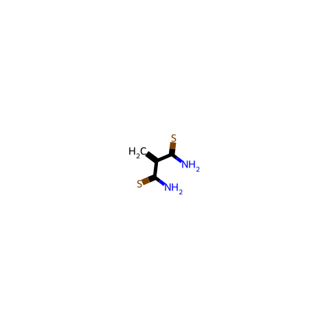 C=C(C(N)=S)C(N)=S